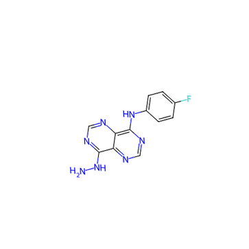 NNc1ncnc2c(Nc3ccc(F)cc3)ncnc12